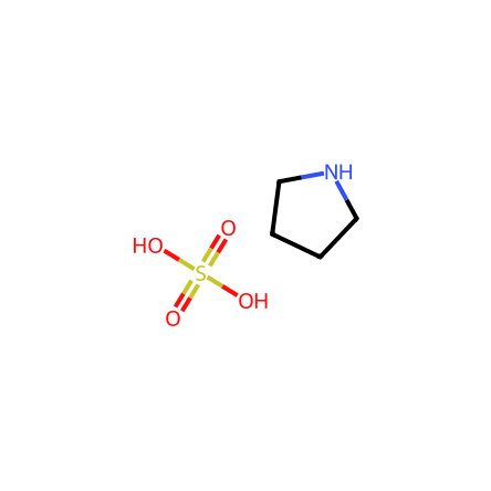 C1CCNC1.O=S(=O)(O)O